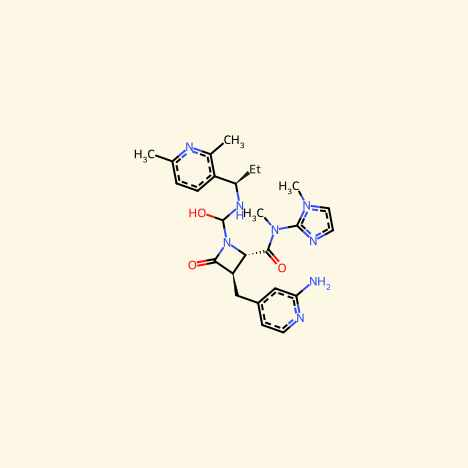 CC[C@@H](NC(O)N1C(=O)[C@H](Cc2ccnc(N)c2)[C@H]1C(=O)N(C)c1nccn1C)c1ccc(C)nc1C